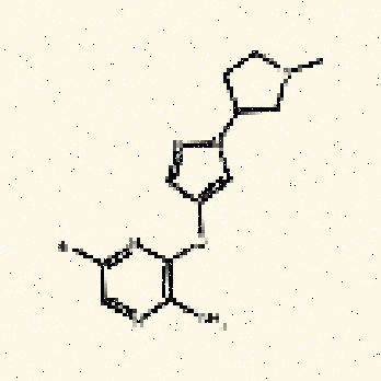 CN1CCC(n2cc(Oc3nc(Br)cnc3N)cn2)C1